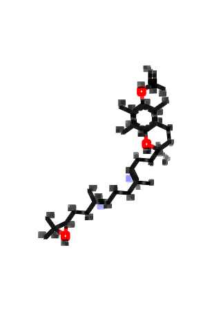 C/C(=C\CC[C@]1(C)CCc2c(C)c(O[SiH](C)C)c(C)c(C)c2O1)CC/C=C(\C)CCC1OC1(C)C